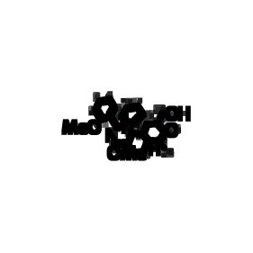 COc1ccccc1-c1nc(OC)c2c(n1)[C@@]1(c3ccccc3)C/C(=C/O)C(=O)[C@@H](C)[C@@H]1CC2